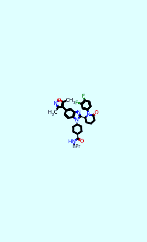 CCCNC(=O)[C@H]1CC[C@H](n2c([C@@H]3CCCC(=O)N3c3ccc(F)c(F)c3)nc3cc(-c4c(C)noc4C)ccc32)CC1